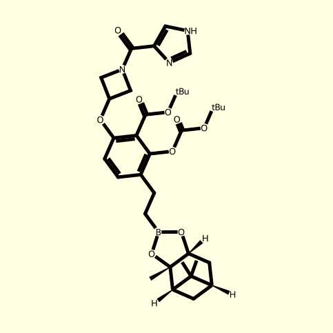 CC(C)(C)OC(=O)Oc1c(CCB2O[C@@H]3C[C@@H]4C[C@@H](C4(C)C)[C@]3(C)O2)ccc(OC2CN(C(=O)c3c[nH]cn3)C2)c1C(=O)OC(C)(C)C